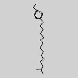 CCc1ccc(SCCCCOCCCCOCCC(C)C)cc1